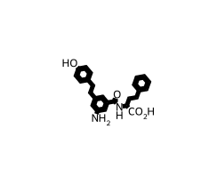 Nc1cc(CCc2ccc(O)cc2)cc(C(=O)NC(CCc2ccccc2)C(=O)O)c1